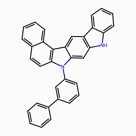 c1ccc(-c2cccc(-n3c4cc5[nH]c6ccccc6c5cc4c4c5ccccc5ccc43)c2)cc1